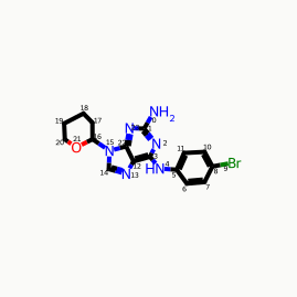 Nc1nc(Nc2ccc(Br)cc2)c2ncn(C3CCCCO3)c2n1